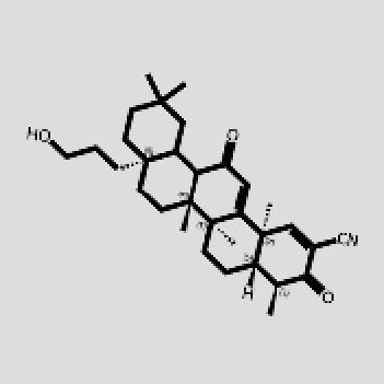 C[C@@H]1C(=O)C(C#N)=C[C@]2(C)C3=CC(=O)C4C5CC(C)(C)CC[C@]5(CCCO)CC[C@@]4(C)[C@]3(C)CC[C@@H]12